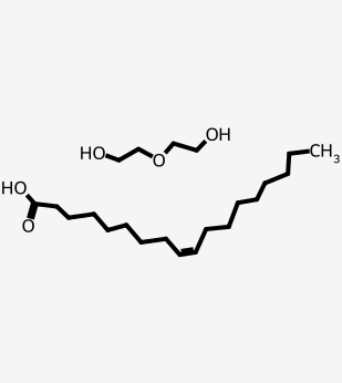 CCCCCCCC/C=C\CCCCCCCC(=O)O.OCCOCCO